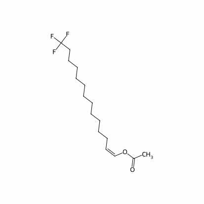 CC(=O)O/C=C\CCCCCCCCCCCC(F)(F)F